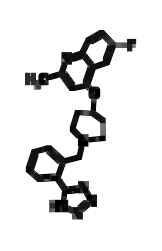 Cc1cc(OC2CCN(Cc3ccccc3-c3nnn[nH]3)CC2)c2cc(F)ccc2n1